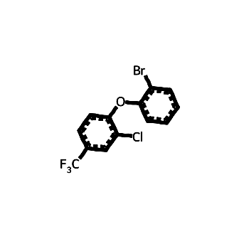 FC(F)(F)c1ccc(Oc2ccccc2Br)c(Cl)c1